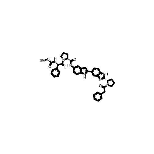 CC(C)(C)OC(=O)N[C@@H](C(=O)N1CCC[C@H]1C(=O)Nc1ccc2[nH]c(-c3ccc4[nH]c([C@@H]5CCCN5C(=O)Cc5ccccc5)nc4c3)cc2c1)c1ccccc1